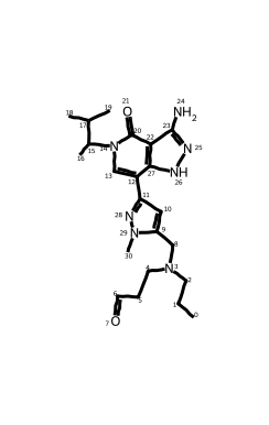 CCCN(CCC=O)Cc1cc(-c2cn(C(C)C(C)C)c(=O)c3c(N)n[nH]c23)nn1C